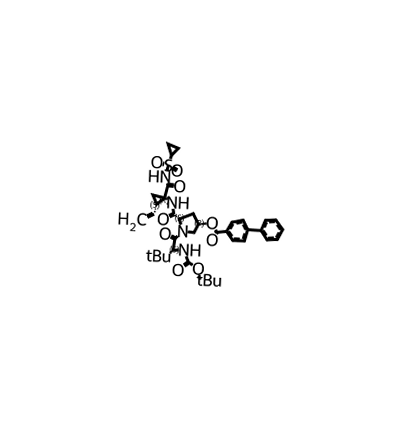 C=C[C@@H]1C[C@]1(NC(=O)[C@@H]1C[C@@H](OC(=O)c2ccc(-c3ccccc3)cc2)CN1C(=O)[C@@H](NC(=O)OC(C)(C)C)C(C)(C)C)C(=O)NS(=O)(=O)C1CC1